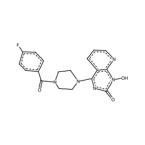 O=C(c1ccc(F)cc1)N1CCN(c2nc(=O)n(O)c3ncccc23)CC1